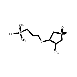 CC1CS(=O)(=O)CC1OCCC[Si](C)(C)O